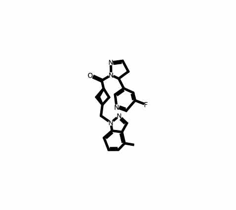 Cc1cccc2c1cnn2CC12CC(C(=O)N3N=CCC3c3cncc(F)c3)(C1)C2